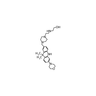 CC1(C)c2ccc(N3CCOCC3)cc2Nc2ccc(CN3CCN(CCNCCO)CC3)cc21